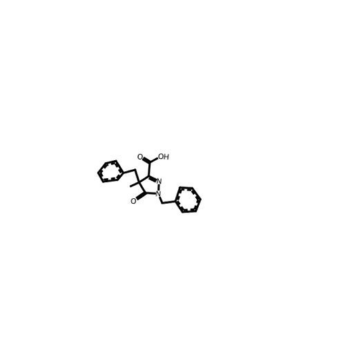 CC1(Cc2ccccc2)C(=O)N(Cc2ccccc2)N=C1C(=O)O